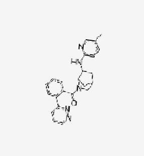 Cc1ccc(NC2CC3CC2N(C(=O)c2ccccc2-c2cccnn2)C3)nc1